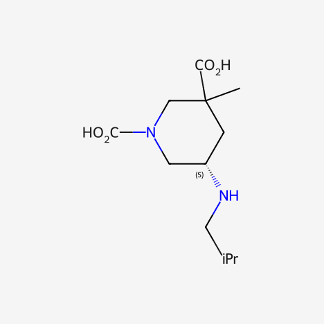 CC(C)CN[C@@H]1CN(C(=O)O)CC(C)(C(=O)O)C1